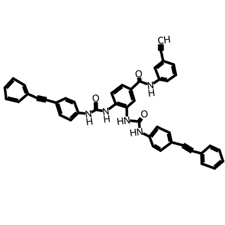 C#Cc1cccc(NC(=O)c2ccc(NC(=O)Nc3ccc(C#Cc4ccccc4)cc3)c(NC(=O)Nc3ccc(C#Cc4ccccc4)cc3)c2)c1